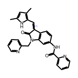 Cc1cc(C)c(/C=C2\C(=O)N(Cc3ccccn3)c3cc(NC(=O)c4ccccn4)ccc32)[nH]1